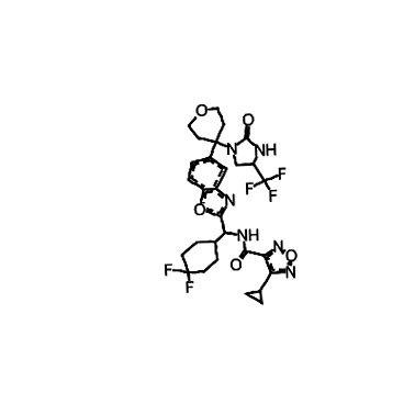 O=C(NC(c1nc2cc(C3(N4CC(C(F)(F)F)NC4=O)CCOCC3)ccc2o1)C1CCC(F)(F)CC1)c1nonc1C1CC1